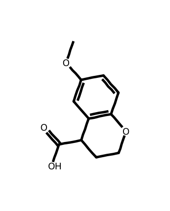 COc1ccc2c(c1)C(C(=O)O)CCO2